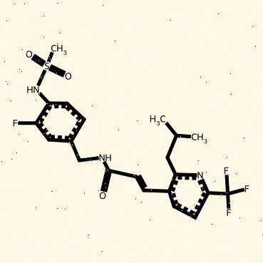 CC(C)Cc1nc(C(F)(F)F)ccc1C=CC(=O)NCc1ccc(NS(C)(=O)=O)c(F)c1